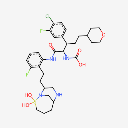 O=C(O)N[C@@H](C(=O)Nc1cccc(F)c1CCC1CNC2CCCS(O)(O)N1C2)[C@H](CCC1CCOCC1)c1ccc(Cl)c(F)c1